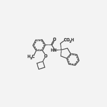 Cc1cccc(C(=O)NC2(CC(=O)O)Cc3ccccc3C2)c1OC1CCC1